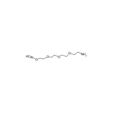 C#COCCOCCOCCOCCN